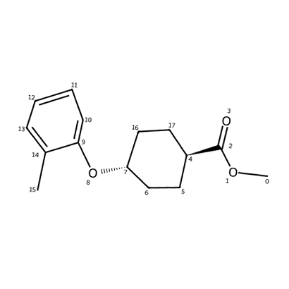 COC(=O)[C@H]1CC[C@H](Oc2ccccc2C)CC1